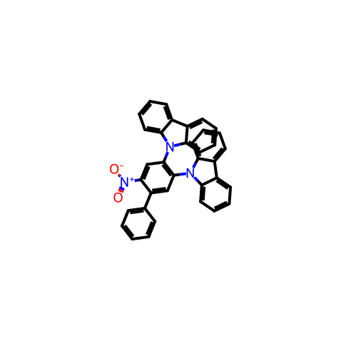 O=[N+]([O-])c1cc(-n2c3ccccc3c3ccccc32)c(-n2c3ccccc3c3ccccc32)cc1-c1ccccc1